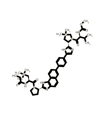 COC(=O)N[C@H](C(=O)N1C[Si](C)(C)C[C@H]1c1ncc(-c2ccc(-c3ccc4c(ccc5nc([C@@H]6CCCN6C(=O)[C@H](C[Si](C)(C)C)NC(=O)CO)[nH]c54)c3)cc2)[nH]1)C(C)C